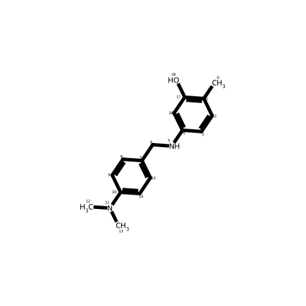 Cc1ccc(NCc2ccc(N(C)C)cc2)cc1O